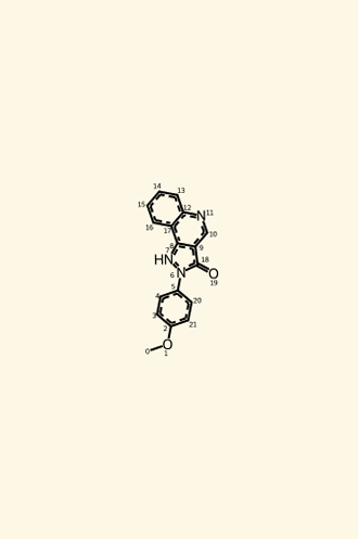 COc1ccc(-n2[nH]c3c(cnc4ccccc43)c2=O)cc1